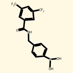 O=C(NCc1ccc(B(O)O)cc1)c1cc(C(F)(F)F)cc(C(F)(F)F)c1